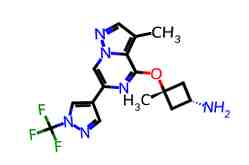 Cc1cnn2cc(-c3cnn(C(F)(F)F)c3)nc(O[C@]3(C)C[C@H](N)C3)c12